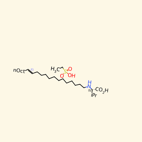 CCCCCCCC/C=C/CCCCCCCCCCCCN[C@H](C(=O)O)C(C)C.CCS(=O)(=O)O